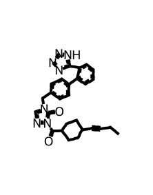 CCC#CC1CCC(C(=O)n2ncn(Cc3ccc(-c4ccccc4-c4nnn[nH]4)cc3)c2=O)CC1